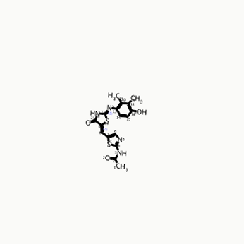 CC(=O)Nc1ncc(/C=C2\S/C(=N\c3ccc(O)c(C)c3C)NC2=O)s1